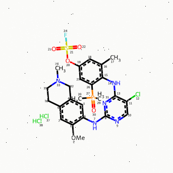 COc1cc2c(cc1Nc1ncc(Cl)c(Nc3c(C)cc(OS(=O)(=O)F)cc3P(C)(C)=O)n1)CN(C)CC2.Cl.Cl